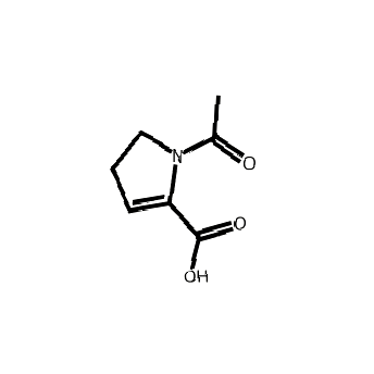 CC(=O)N1CCC=C1C(=O)O